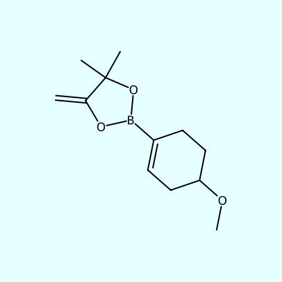 C=C1OB(C2=CCC(OC)CC2)OC1(C)C